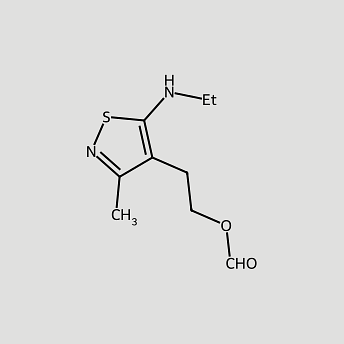 CCNc1snc(C)c1CCOC=O